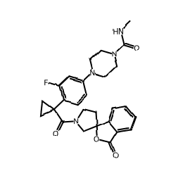 CNC(=O)N1CCN(c2ccc(C3(C(=O)N4CCC5(C4)OC(=O)c4ccccc45)CC3)c(F)c2)CC1